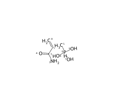 C=CC(N)=O.C[PH](O)(O)O